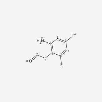 Nc1cc(F)cc(F)c1CC=O